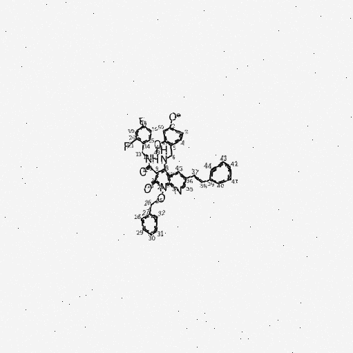 COc1ccc(CNc2c(C(=O)NCc3ccc(F)cc3F)c(=O)n(OCc3ccccc3)c3ncc(/C=C/c4ccccc4)cc23)c(OC)c1